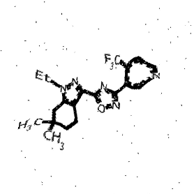 CCn1nc(-c2nc(-c3cnccc3C(F)(F)F)no2)c2c1CC(C)(C)CC2